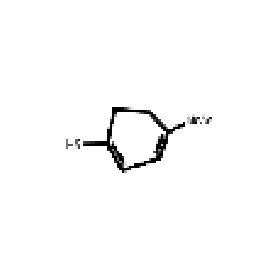 CNC1=CC=C(S)CC1